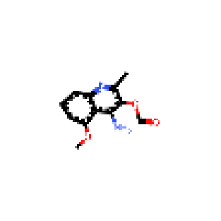 COc1cccc2nc(C)c(OC=O)c(N)c12